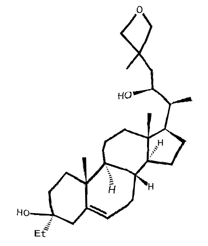 CC[C@]1(O)CC[C@@]2(C)C(=CC[C@H]3[C@@H]4CC[C@H]([C@H](C)[C@@H](O)CC5(C)COC5)[C@@]4(C)CC[C@@H]32)C1